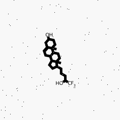 CC12CCC(O)CC1=CCC1C2CCC2(C)C(CCCC(O)C(F)(F)F)CCC12